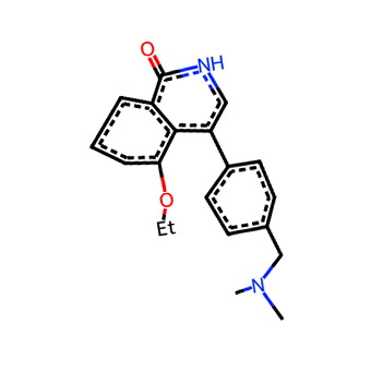 CCOc1cccc2c(=O)[nH]cc(-c3ccc(CN(C)C)cc3)c12